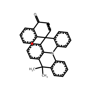 CC1(C)c2ccccc2N2c3ccccc3C3(c4ccccc4C(=O)c4ccccc43)c3cccc1c32